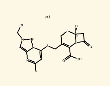 CC1=NC2=CN(CO)NN2C(SCC2=C(C(=O)O)N3C(=O)C[C@H]3SC2)=C1.Cl